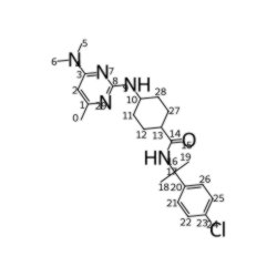 Cc1cc(N(C)C)nc(NC2CCC(C(=O)NC(C)(C)c3ccc(Cl)cc3)CC2)n1